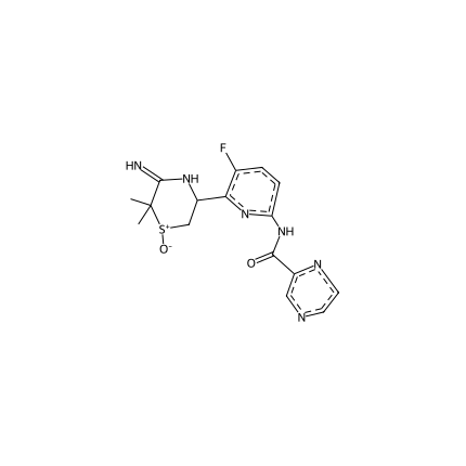 CC1(C)C(=N)NC(c2nc(NC(=O)c3cnccn3)ccc2F)C[S+]1[O-]